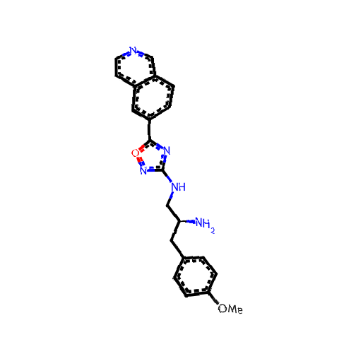 COc1ccc(C[C@H](N)CNc2noc(-c3ccc4cnccc4c3)n2)cc1